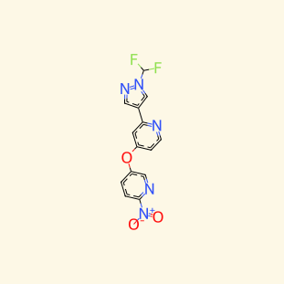 O=[N+]([O-])c1ccc(Oc2ccnc(-c3cnn(C(F)F)c3)c2)cn1